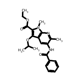 CCOC(=O)c1c(OC(C)C)c2cc(NC(=O)c3ccccc3)c(C)nc2n1C